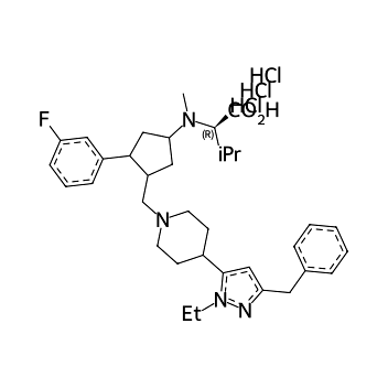 CCn1nc(Cc2ccccc2)cc1C1CCN(CC2CC(N(C)[C@@H](C(=O)O)C(C)C)CC2c2cccc(F)c2)CC1.Cl.Cl.Cl